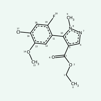 CCOC(=O)c1cnn(C)c1-c1cc(OC)c(Cl)cc1F